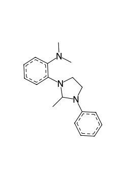 CC1N(c2ccccc2)CCN1c1ccccc1N(C)C